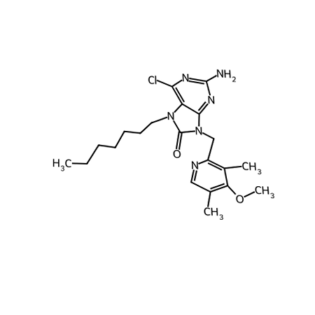 CCCCCCCn1c(=O)n(Cc2ncc(C)c(OC)c2C)c2nc(N)nc(Cl)c21